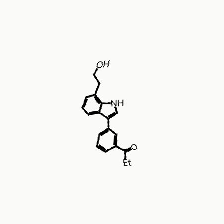 CCC(=O)c1cccc(-c2c[nH]c3c(CCO)cccc23)c1